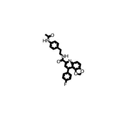 CC(=O)Nc1ccc(CCNC(=O)c2cc(-c3ccc(F)cc3)c3c4c(ccc3n2)OCO4)cc1